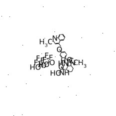 Cc1cc(COc2ccc(C(=O)N[C@H]3[C@H](N(C)C)CCC[C@H]3C(=O)NO)cc2)c2ccccc2n1.O=C(O)C(F)(F)F.O=C(O)C(F)(F)F